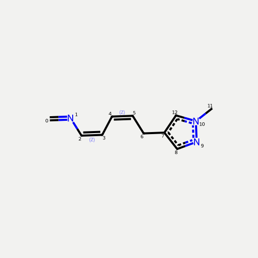 C=N/C=C\C=C/Cc1cnn(C)c1